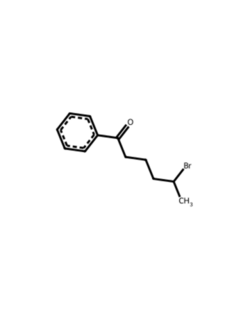 CC(Br)CCCC(=O)c1ccccc1